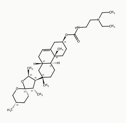 CCN(CC)CCNC(=O)O[C@H]1CC[C@@]2(C)C(=CC[C@H]3C[C@@](C)([C@@H]4[C@H](C)O[C@@]5(CC[C@H](C)CO5)[C@H]4C)CC[C@@H]32)C1